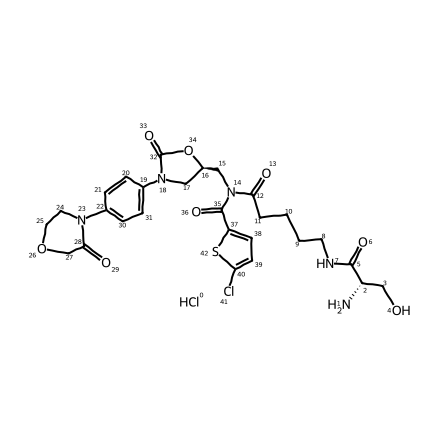 Cl.N[C@@H](CO)C(=O)NCCCCC(=O)N(C[C@H]1CN(c2ccc(N3CCOCC3=O)cc2)C(=O)O1)C(=O)c1ccc(Cl)s1